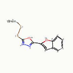 CCCCCSSc1nnc(-c2cc3ccccc3o2)o1